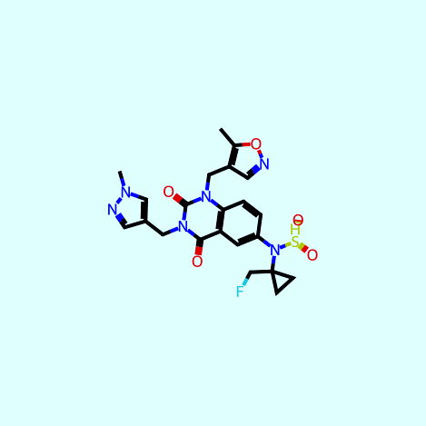 Cc1oncc1Cn1c(=O)n(Cc2cnn(C)c2)c(=O)c2cc(N([SH](=O)=O)C3(CF)CC3)ccc21